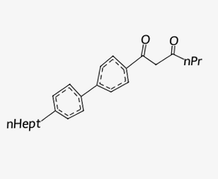 CCCCCCCc1ccc(-c2ccc(C(=O)CC(=O)CCC)cc2)cc1